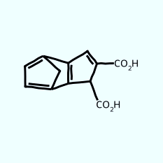 O=C(O)C1=CC2=C(C3=CC=C2C3)C1C(=O)O